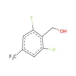 OCc1c(F)cc(C(F)(F)F)cc1F